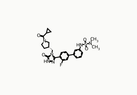 CN(C)S(=O)(=O)Nc1cccc(-c2ccc(-c3n[nH]c(=O)n3C[C@@H]3CCN(C(=O)C4CC4)C3)c(F)c2)c1